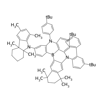 Cc1cc(C)c2c(c1)C1(C)CCCCC1(C)N2c1ccc2c(c1)N(c1ccc(C(C)(C)C)cc1)c1cc(C(C)(C)C)cc3c1B2c1cc2c(cc1N3c1ccc(C(C)(C)C)cc1-c1ccccc1)C(C)(C)CCC2(C)C